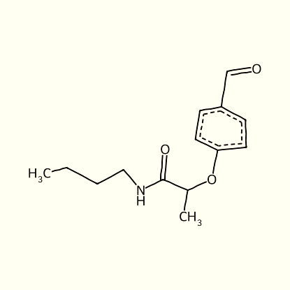 CCCCNC(=O)C(C)Oc1ccc(C=O)cc1